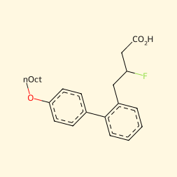 CCCCCCCCOc1ccc(-c2ccccc2CC(F)CC(=O)O)cc1